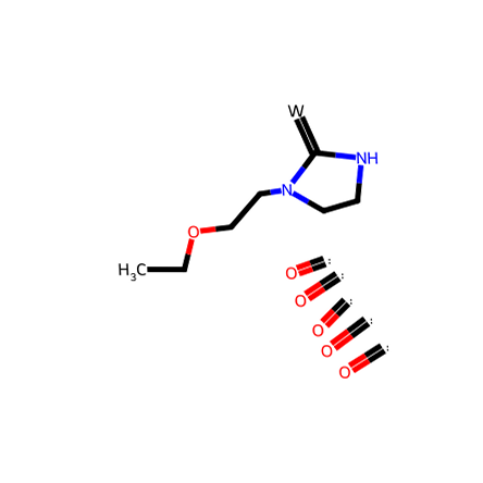 CCOCCN1CCN[C]1=[W].[C]=O.[C]=O.[C]=O.[C]=O.[C]=O